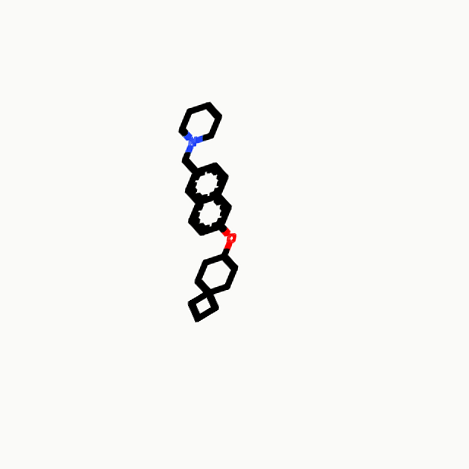 c1cc2cc(OC3CCC4(CCC4)CC3)ccc2cc1CN1CCCCC1